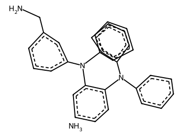 N.NCc1cccc(N(c2ccccc2)c2ccccc2N(c2ccccc2)c2ccccc2)c1